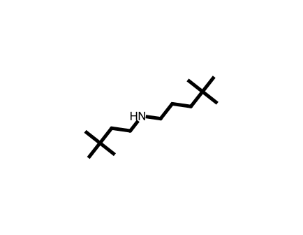 CC(C)(C)CCCNCCC(C)(C)C